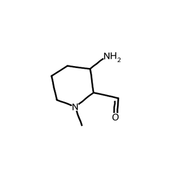 CN1CCCC(N)C1C=O